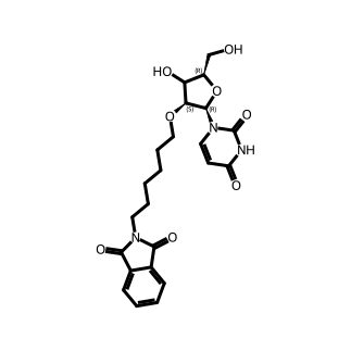 O=C1c2ccccc2C(=O)N1CCCCCCO[C@H]1C(O)[C@@H](CO)O[C@H]1n1ccc(=O)[nH]c1=O